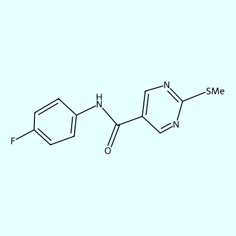 CSc1ncc(C(=O)Nc2ccc(F)cc2)cn1